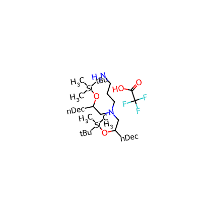 CCCCCCCCCCC(CN(CCCN)CC(CCCCCCCCCC)O[Si](C)(C)C(C)(C)C)O[Si](C)(C)C(C)(C)C.O=C(O)C(F)(F)F